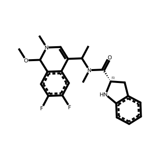 COC1c2cc(F)c(F)cc2C(C(C)N(C)C(=O)[C@@H]2Cc3ccccc3N2)=CN1C